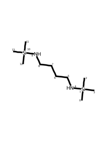 C[Si](C)(C)NCCCCN[Si](C)(C)C